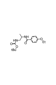 CCOc1ccc(C(=O)NC(C)CNC(=O)OC(C)(C)C)cc1